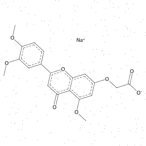 COc1ccc(-c2cc(=O)c3c(OC)cc(OCC(=O)[O-])cc3o2)cc1OC.[Na+]